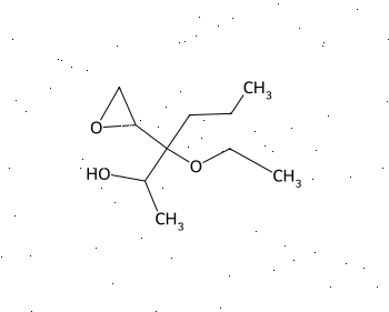 CCCC(OCC)(C(C)O)C1CO1